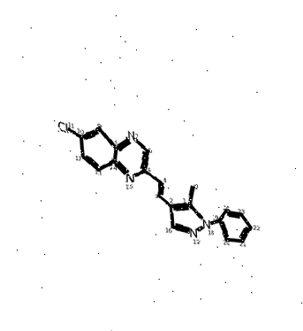 Cc1c(C=Cc2cnc3cc(Cl)ccc3n2)cnn1-c1ccccc1